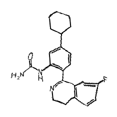 NC(=O)Nc1cc(C2CCCCC2)ccc1C1=NCCc2ccc(F)cc21